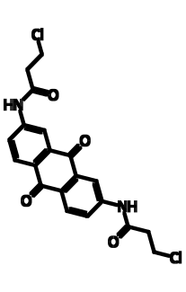 O=C(CCCl)Nc1ccc2c(c1)C(=O)c1cc(NC(=O)CCCl)ccc1C2=O